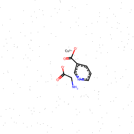 NCC(=O)[O-].O=C([O-])c1cccnc1.[Cu+2]